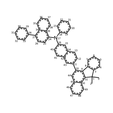 CC1(C)c2ccccc2-c2c(-c3ccc4cc(N(c5ccccc5)c5ccc(-c6ccccc6)c6ccccc56)ccc4c3)cc3ccccc3c21